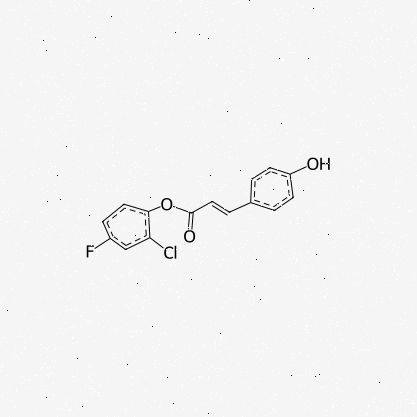 O=C(/C=C/c1ccc(O)cc1)Oc1ccc(F)cc1Cl